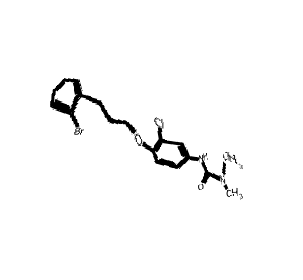 CN(C)C(=O)Nc1ccc(OCCCc2ccccc2Br)c(Cl)c1